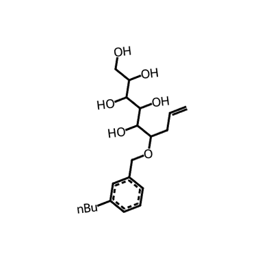 C=CCC(OCc1cccc(CCCC)c1)C(O)C(O)C(O)C(O)CO